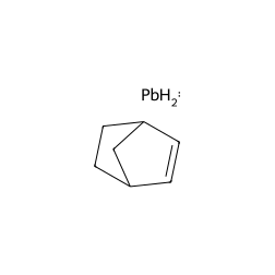 C1=CC2CCC1C2.[PbH2]